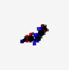 COc1cc(Nc2ncc(F)c(Nc3ccc4c(c3)NC(=O)C(C)(C)O4)n2)cc(OCC#N)c1OC